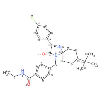 CCNC(=O)c1ccc(CN2C(=O)C(c3ccc(F)cc3)=NC23CCC(C(C)(C)C)CC3)cc1